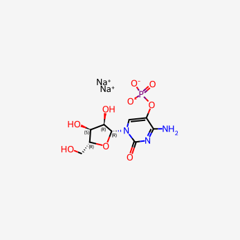 Nc1nc(=O)n([C@@H]2O[C@H](CO)[C@@H](O)[C@H]2O)cc1OP(=O)([O-])[O-].[Na+].[Na+]